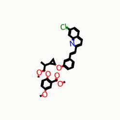 COC(=O)c1cc(OC)ccc1OC(OC)C(C)C1CC1Oc1cccc(C=Cc2ccc3ccc(Cl)cc3n2)c1